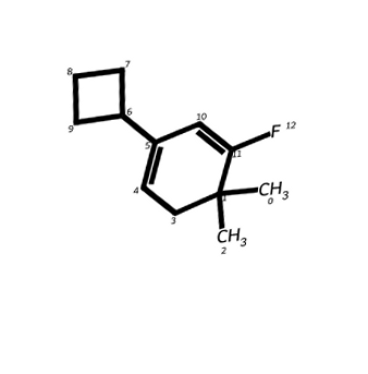 CC1(C)CC=C(C2CCC2)C=C1F